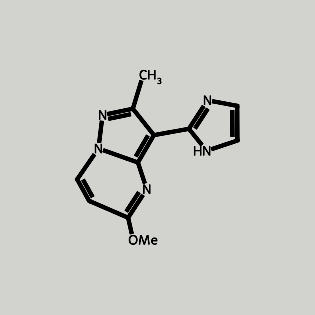 COc1ccn2nc(C)c(-c3ncc[nH]3)c2n1